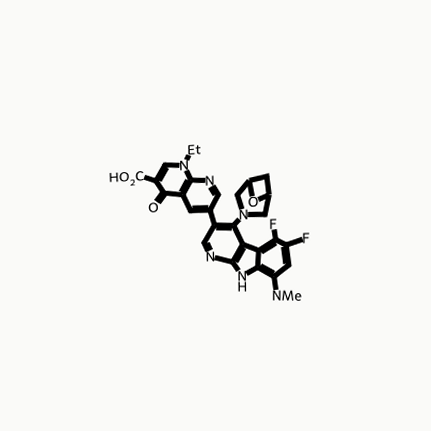 CCn1cc(C(=O)O)c(=O)c2cc(-c3cnc4[nH]c5c(NC)cc(F)c(F)c5c4c3N3CC4CC(C3)O4)cnc21